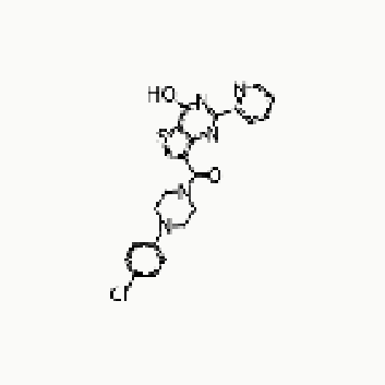 O=C(c1csc2c(O)nc(-c3ccccn3)nc12)N1CCN(c2ccc(Cl)cc2)CC1